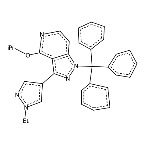 CCn1cc(-c2nn(C(c3ccccc3)(c3ccccc3)c3ccccc3)c3ccnc(OC(C)C)c23)cn1